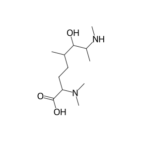 CNC(C)C(O)C(C)CCC(C(=O)O)N(C)C